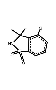 CC1(C)NS(=O)(=O)c2cccc(Cl)c21